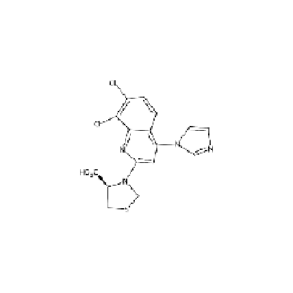 O=C(O)[C@@H]1CSCN1c1cc(-n2ccnc2)c2ccc(Cl)c(Cl)c2n1